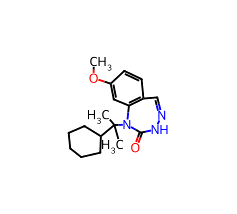 COc1ccc2c(c1)N(C(C)(C)C1CCCCC1)C(=O)NN=C2